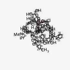 CN[C@H](CC(C)C)C(=O)N[C@H]1C(=O)N[C@@H](CC(=O)NC(=O)N[S+]([O-])c2ccc(C)cc2)C(=O)N[C@H]2C(=O)N[C@H]3C(=O)N[C@H](C(=O)N[C@H](C(=O)NC4C5CC6CC(C5)CC4C6)c4cc(O)cc5c4-c4cc3ccc4C5(O)O)[C@H](O)c3ccc(c(Cl)c3)Oc3cc2cc(c3O[C@@H]2O[C@H](CO)[C@@H](O)[C@H](O)[C@H]2O[C@H]2C[C@](C)(N)[C@H](O)[C@H](C)O2)Oc2ccc(cc2Cl)[C@H]1O